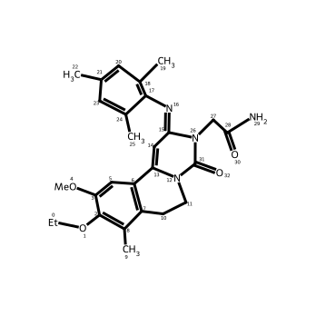 CCOc1c(OC)cc2c(c1C)CCn1c-2c/c(=N\c2c(C)cc(C)cc2C)n(CC(N)=O)c1=O